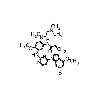 C=CC(=O)Nc1cc(Nc2nccc(-n3ccc4c(OC)cc(Br)cc43)n2)c(OC)cc1N(C)CCN(C)C